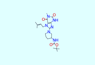 CC(C)=CCn1c(N2CCCC(NC(=O)OC(C)(C)C)C2)nc2[nH]c(=O)n(C)c(=O)c21